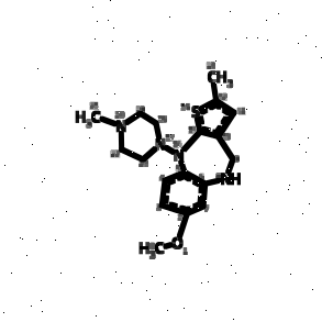 COc1ccc2c(c1)NCc1cc(C)sc1N2N1CCN(C)CC1